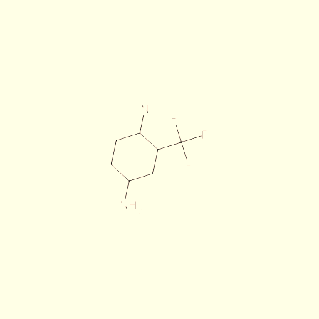 NC1CCC(N)C(C(F)(F)F)C1